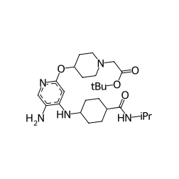 CC(C)NC(=O)C1CCC(Nc2cc(OC3CCN(CC(=O)OC(C)(C)C)CC3)ncc2N)CC1